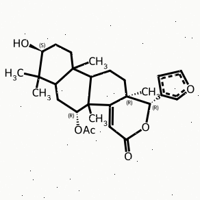 CC(=O)O[C@@H]1CC2C(C)(CC[C@H](O)C2(C)C)C2CC[C@]3(C)C(=CC(=O)O[C@H]3c3ccoc3)C21C